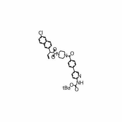 C=CC(c1ccc2cc(Cl)ccc2c1)S(=O)(=O)N1CCN(C(=O)c2ccc(-c3ccc(NC(=O)OC(C)(C)C)nc3)cc2)CC1